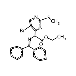 CCOC(=O)C(N=C(c1ccccc1)c1ccccc1)c1nc(SC)ncc1Br